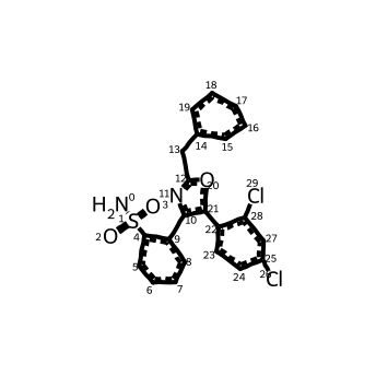 NS(=O)(=O)c1ccccc1-c1nc(Cc2ccccc2)oc1-c1ccc(Cl)cc1Cl